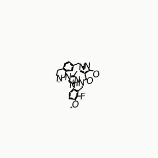 COCc1nn(Cc2ccc3c(c2)CN(C)CC3)cc1C(=O)NCc1c(-n2cnc(C)n2)ccc(OC)c1F